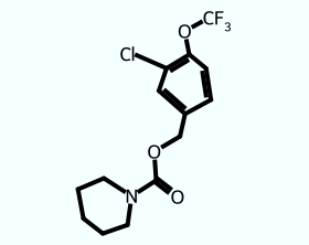 O=C(OCc1ccc(OC(F)(F)F)c(Cl)c1)N1CCCCC1